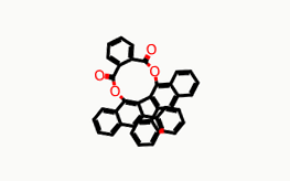 O=c1oc2c3ccccc3cc(-c3ccccc3)c2c2c(-c3ccccc3)cc3ccccc3c2oc(=O)c2ccccc12